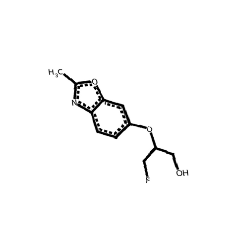 Cc1nc2ccc(OC(CO)CF)cc2o1